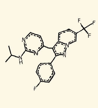 CC(C)Nc1nccc(-c2c(-c3ccc(F)cc3)nn3cc(C(F)(F)F)ccc23)n1